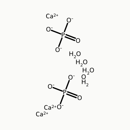 O.O.O.O.O=P([O-])([O-])[O-].O=P([O-])([O-])[O-].[Ca+2].[Ca+2].[Ca+2]